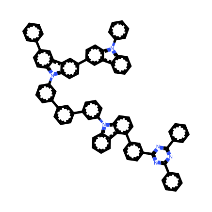 c1ccc(-c2ccc3c(c2)c2cc(-c4ccc5c(c4)c4ccccc4n5-c4ccccc4)ccc2n3-c2cccc(-c3cccc(-c4cccc(-n5c6ccccc6c6c(-c7cccc(-c8nc(-c9ccccc9)nc(-c9ccccc9)n8)c7)cccc65)c4)c3)c2)cc1